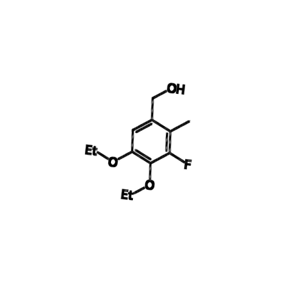 CCOc1cc(CO)c(C)c(F)c1OCC